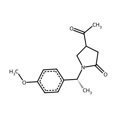 COc1ccc([C@@H](C)N2CC(C(C)=O)CC2=O)cc1